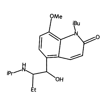 CCC(NC(C)C)C(O)c1ccc(OC)c2c1ccc(=O)n2C(C)CC